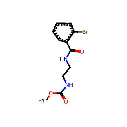 CC(C)(C)OC(=O)NCCNC(=O)c1ccccc1Br